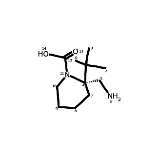 CC(C)(C)[C@@]1(CN)CCCCN1C(=O)O